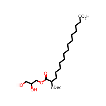 CCCCCCCCCCC(CCCCCCCCCCCCCC(=O)O)C(=O)OCC(O)CO